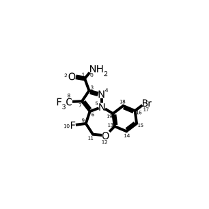 NC(=O)c1nn2c(c1C(F)(F)F)C(F)COc1ccc(Br)cc1-2